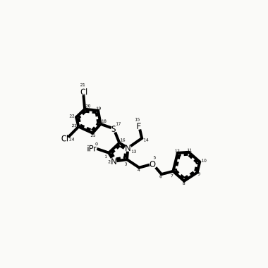 CC(C)c1nc(COCc2ccccc2)n(CF)c1Sc1cc(Cl)cc(Cl)c1